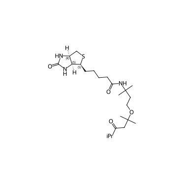 CC(C)C(=O)CC(C)(C)OCCC(C)(C)NC(=O)CCCC[C@@H]1SC[C@@H]2NC(=O)N[C@@H]21